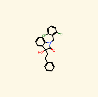 O=C1N(Cc2c(Cl)cccc2Cl)c2ccccc2C1(O)CCc1ccccc1